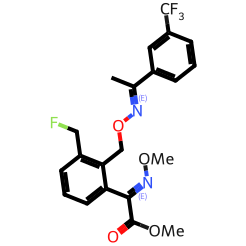 CO/N=C(/C(=O)OC)c1cccc(CF)c1CO/N=C(\C)c1cccc(C(F)(F)F)c1